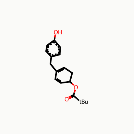 CC(C)(C)C(=O)OC1C=CC(Cc2ccc(O)cc2)=CC1